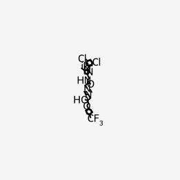 CC(C)Cc1cc(CNC(=O)CN2CCN(CC(O)COc3ccc(C(F)(F)F)cc3)CC2)nn1-c1cc(Cl)cc(Cl)c1